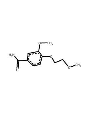 COCCOc1ccc(C(N)=O)cc1OC